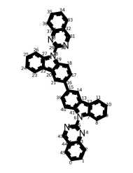 c1ccc2nc(-n3c4ccccc4c4cc(-c5ccc6c(c5)c5ccccc5n6-c5ncc6ccccc6n5)ccc43)ncc2c1